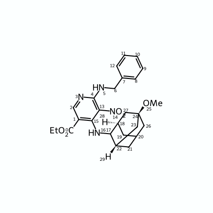 CCOC(=O)c1cnc(NCc2ccccc2)c([N+](=O)[O-])c1NC1[C@@H]2CC3C[C@H]1C[C@@](OC)(C3)C2